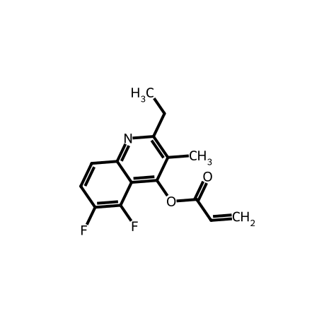 C=CC(=O)Oc1c(C)c(CC)nc2ccc(F)c(F)c12